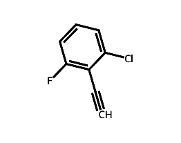 C#Cc1c(F)cccc1Cl